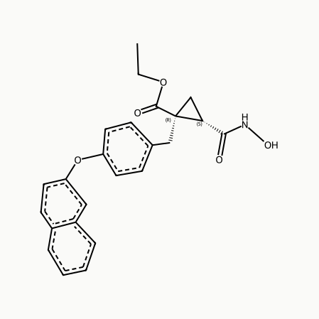 CCOC(=O)[C@@]1(Cc2ccc(Oc3ccc4ccccc4c3)cc2)C[C@@H]1C(=O)NO